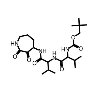 CC(C)C(NC(=O)OCC(C)(C)C)C(=O)NC(C(=O)NC1CCCNC(=O)C1=O)C(C)C